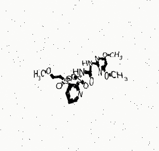 COCCS(=O)(=O)c1cccnc1S(=O)(=O)NC(=O)Nc1nc(OC)cc(OC)n1